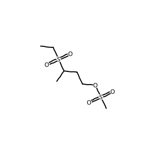 CCS(=O)(=O)C(C)CCOS(C)(=O)=O